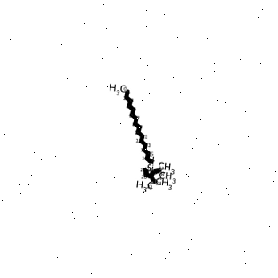 CCCCCCCCCCCCCCCCCC[SiH]1C=CC(C(C)C)=C1C(C)C